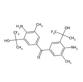 Cc1cc(C(=O)c2cc(C)c(N)c(C(C)(O)C(F)(F)F)c2)cc(C(C)(O)C(F)(F)F)c1N